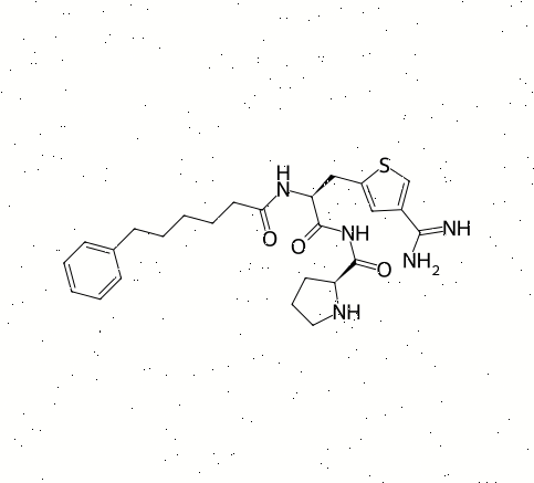 N=C(N)c1csc(C[C@H](NC(=O)CCCCCc2ccccc2)C(=O)NC(=O)[C@@H]2CCCN2)c1